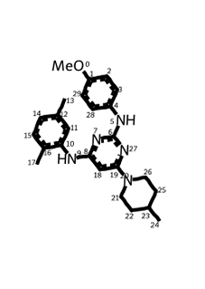 COc1ccc(Nc2nc(Nc3cc(C)ccc3C)cc(N3CCC(C)CC3)n2)cc1